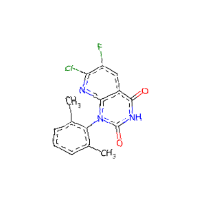 Cc1cccc(C)c1-n1c(=O)[nH]c(=O)c2cc(F)c(Cl)nc21